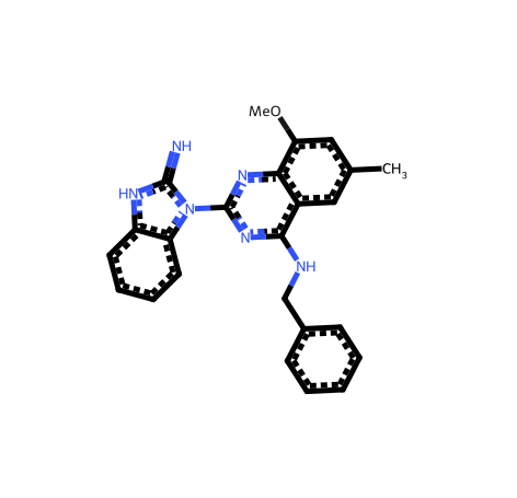 COc1cc(C)cc2c(NCc3ccccc3)nc(-n3c(=N)[nH]c4ccccc43)nc12